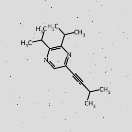 CC(C)C#Cc1cnc(C(C)C)c(C(C)C)n1